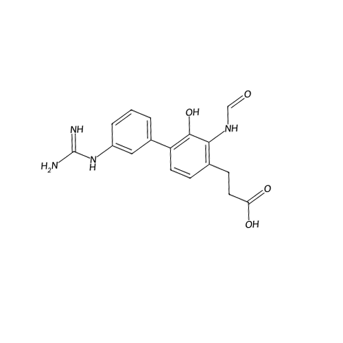 N=C(N)Nc1cccc(-c2ccc(CCC(=O)O)c(NC=O)c2O)c1